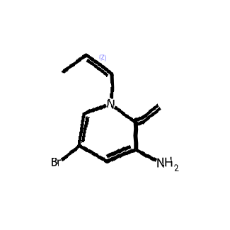 C=C1C(N)=CC(Br)=CN1/C=C\C